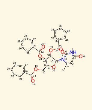 Cc1cc(=O)[nH]c(=O)n1[C@H]1O[C@@H](COC(=O)c2ccccc2)C(OC(=O)c2ccccc2)C1OC(=O)c1ccccc1